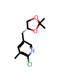 Cc1cc(C[C@@H]2COC(C)(C)O2)cnc1Cl